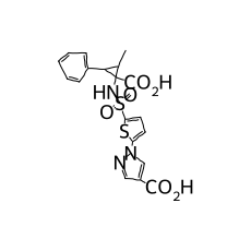 CC1C(c2ccccc2)C1(NS(=O)(=O)c1ccc(-n2cc(C(=O)O)cn2)s1)C(=O)O